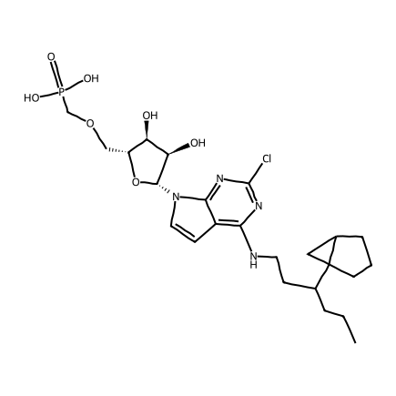 CCCC(CCNc1nc(Cl)nc2c1ccn2[C@@H]1O[C@H](COCP(=O)(O)O)[C@@H](O)[C@H]1O)C12CCCC1C2